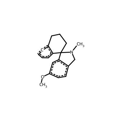 COc1ccc2c(c1)C1(CCCc3ccccc31)N(C)C2